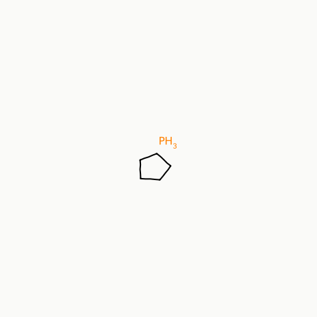 C1CCCC1.P